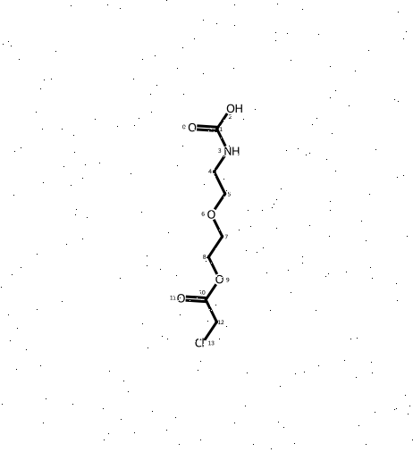 O=C(O)NCCOCCOC(=O)CCl